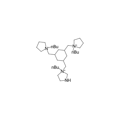 CCCC[N+]1(CC2CC(C[N+]3(CCCC)CCCC3)CC(C[N+]3(CCCC)CCNC3)C2)CCCC1